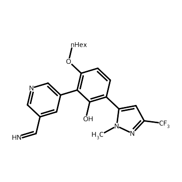 CCCCCCOc1ccc(-c2cc(C(F)(F)F)nn2C)c(O)c1-c1cncc(C=N)c1